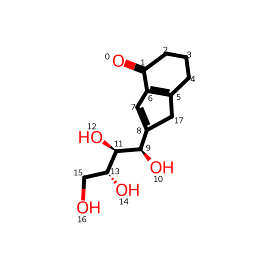 O=C1CCCC2=C1C=C([C@@H](O)[C@H](O)[C@H](O)CO)C2